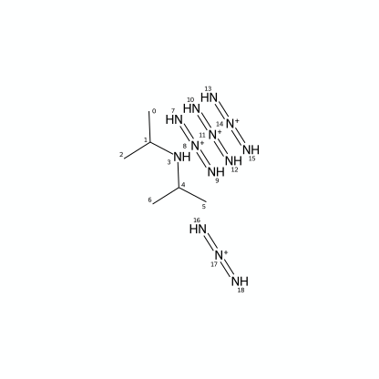 CC(C)NC(C)C.N=[N+]=N.N=[N+]=N.N=[N+]=N.N=[N+]=N